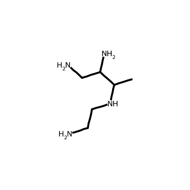 CC(NCCN)C(N)CN